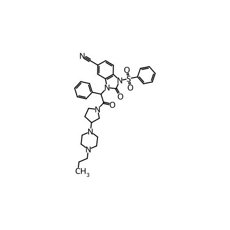 CCCN1CCN(C2CCN(C(=O)C(c3ccccc3)n3c(=O)n(S(=O)(=O)c4ccccc4)c4ccc(C#N)cc43)C2)CC1